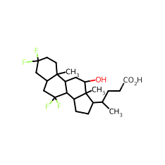 CC(CCC(=O)O)C1CCC2C3C(CC(O)C12C)C1(C)CCC(F)(F)CC1CC3(F)F